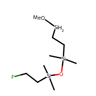 CO[SiH2]CC[Si](C)(C)O[Si](C)(C)CCF